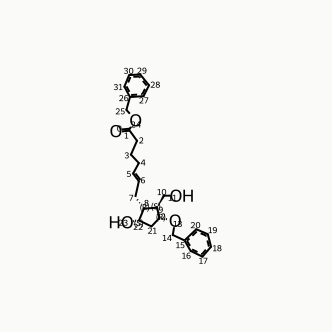 O=C(CCCC=CC[C@@H]1[C@@H](CO)[C@H](OCc2ccccc2)C[C@@H]1O)OCc1ccccc1